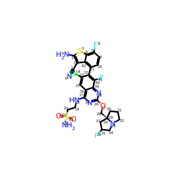 N#Cc1c(N)sc2c(F)ccc(-c3c(Cl)cc4c(NCCS(N)(=O)=O)nc(OC[C@@]56CCCN5CC(F)C6)nc4c3F)c12